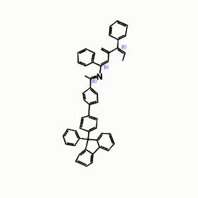 C=C(/C=C(/N=C(\C)c1ccc(-c2ccc(C3(c4ccccc4)c4ccccc4-c4ccccc43)cc2)cc1)c1ccccc1)/C(=C\C)c1ccccc1